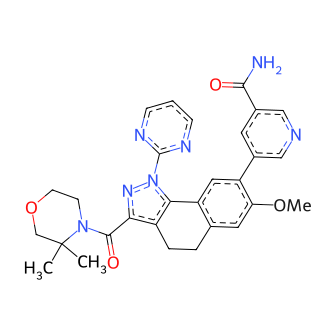 COc1cc2c(cc1-c1cncc(C(N)=O)c1)-c1c(c(C(=O)N3CCOCC3(C)C)nn1-c1ncccn1)CC2